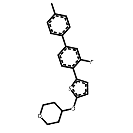 Cc1ccc(-c2ccc(-c3ccc(OC4CCOCC4)s3)c(F)c2)cc1